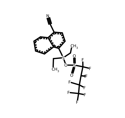 CCS(CC)(OS(=O)(=O)C(F)(F)C(F)(F)C(F)(F)C(F)(F)F)c1ccc(C#N)c2ccccc12